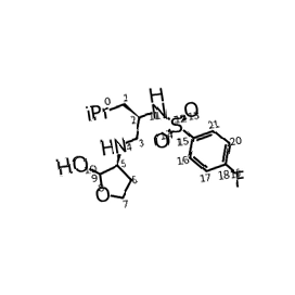 CC(C)C[C@H](CN[C@H]1CCOC1O)NS(=O)(=O)c1ccc(F)cc1